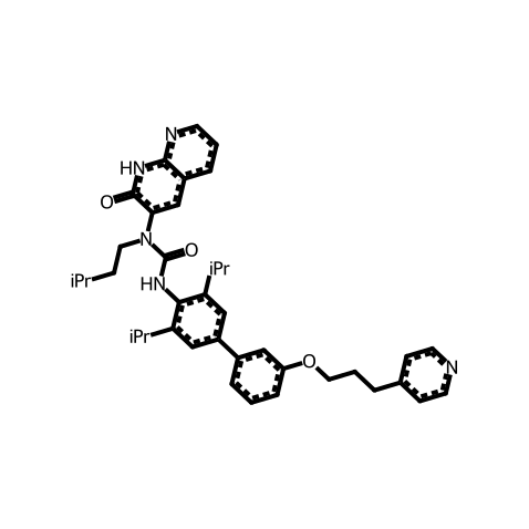 CC(C)CCN(C(=O)Nc1c(C(C)C)cc(-c2cccc(OCCCc3ccncc3)c2)cc1C(C)C)c1cc2cccnc2[nH]c1=O